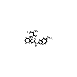 CC(C)[C@@H](N)C(=O)NCC1(CC(=O)Nc2nc3ccc(OC(F)(F)F)cc3s2)CCCCC1